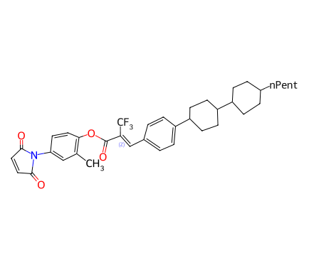 CCCCCC1CCC(C2CCC(c3ccc(/C=C(/C(=O)Oc4ccc(N5C(=O)C=CC5=O)cc4C)C(F)(F)F)cc3)CC2)CC1